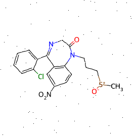 C[S+]([O-])CCCN1C(=O)CN=C(c2ccccc2Cl)c2cc([N+](=O)[O-])ccc21